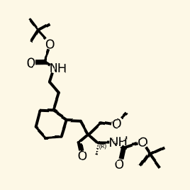 COCC(C=O)(CC1CCCCC1CCNC(=O)OC(C)(C)C)[C@@H](C)NC(=O)OC(C)(C)C